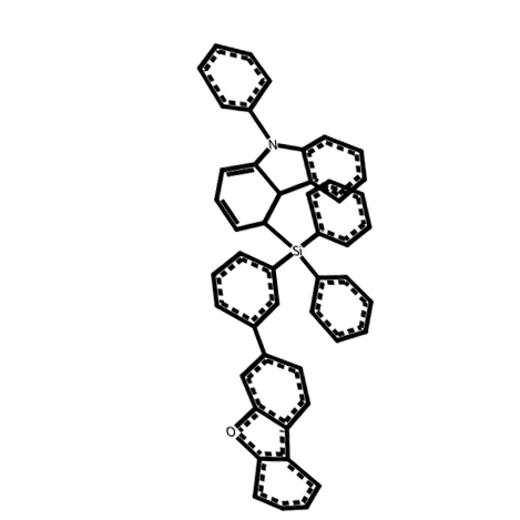 C1=CC([Si](c2ccccc2)(c2ccccc2)c2cccc(-c3ccc4c(c3)oc3ccccc34)c2)C2C(=C1)N(c1ccccc1)c1ccccc12